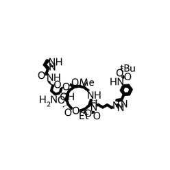 CC[C@H]1OC(=O)[C@H](C)C(=O)[C@H](C)[C@@H](O[C@@H]2O[C@H](CNC(=O)c3cc[nH]n3)CC(N)C2O)[C@](C)(OC)C[C@@H](C)CN[C@H](C)[C@H]2N(CCCCn3cc(-c4cccc(NC(=O)OC(C)(C)C)c4)nn3)C(=O)O[C@]12C